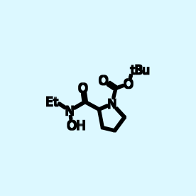 CCN(O)C(=O)C1CCCN1C(=O)OC(C)(C)C